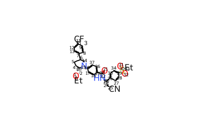 CCOC[C@@H]1CCC(c2ccc(C(F)(F)F)cc2)CN1c1ccc(C(=O)N[C@H](CC#N)c2ccc(S(=O)(=O)CC)cc2)cc1